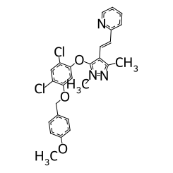 COc1ccc(COc2cc(Oc3c(C=Cc4ccccn4)c(C)nn3C)c(Cl)cc2Cl)cc1